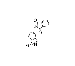 CCn1ncc2cc(CN3C(=O)c4ccccc4C3=O)ccc21